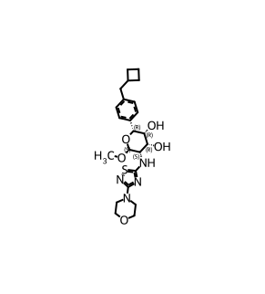 CO[C@H]1O[C@H](c2ccc(CC3CCC3)cc2)[C@H](O)[C@H](O)[C@@H]1Nc1nc(N2CCOCC2)ns1